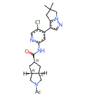 CC(=O)N1C[C@H]2C[C@H](C(=O)Nc3cc(-c4cnn5c4CC(C)(C)C5)c(Cl)cn3)C[C@H]2C1